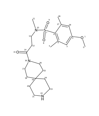 COc1cc(C)c(S(=O)(=O)N(C)CCC(=O)N2CCC3(CCNCC3)CC2)c(C)c1